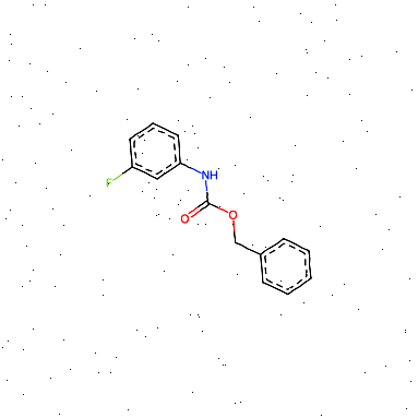 O=C(Nc1cccc(F)c1)OCc1ccccc1